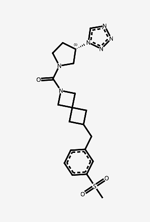 CS(=O)(=O)c1cccc(CC2CC3(C2)CN(C(=O)N2CC[C@H](n4cnnn4)C2)C3)c1